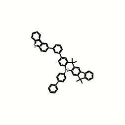 CC1(C)c2ccccc2-c2cc3c(cc21)N(c1ccc(-c2ccccc2)cc1)c1ccc(-c2cccc(-c4ccc5sc6ccccc6c5c4)c2)cc1C3(C)C